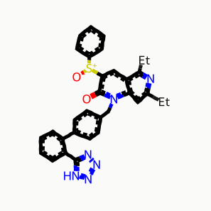 CCc1cc2c(cc([S+]([O-])c3ccccc3)c(=O)n2Cc2ccc(-c3ccccc3-c3nnn[nH]3)cc2)c(CC)n1